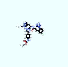 CCn1cc(CC(NC(=O)CCc2cc(Cl)ccc2-n2cnnn2)c2nc(-c3ccc(NC(=O)OC)cc3)c[nH]2)cn1